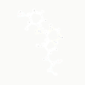 COC(=O)Oc1cn2ncnc(Nc3cccc(O)c3C)c2c1C